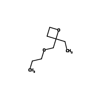 CCCOCC1(CC)CCO1